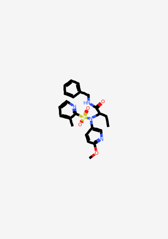 CCC(C(=O)NCc1ccccc1)N(c1ccc(OC)nc1)S(=O)(=O)c1ncccc1C